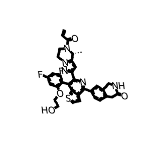 C=CC(=O)N1CCn2nc(-c3nc(-c4ccc5c(c4)CNC(=O)C5)c4ccsc4c3-c3c(F)cc(F)cc3OCCO)cc2[C@H]1C